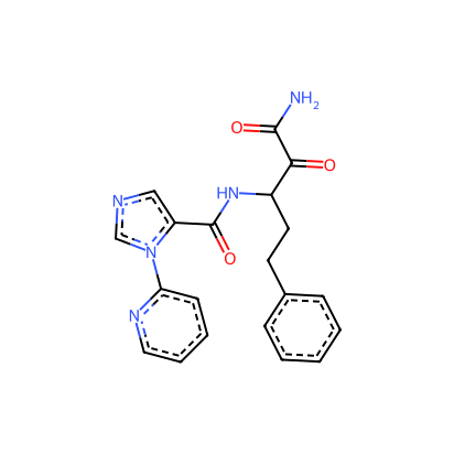 NC(=O)C(=O)C(CCc1ccccc1)NC(=O)c1cncn1-c1ccccn1